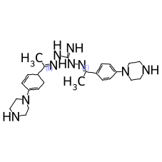 C/C(=N\NC(=N)N/N=C(\C)C1C=CC(N2CCNCC2)=CC1)c1ccc(N2CCNCC2)cc1